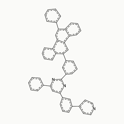 c1ccc(-c2cc(-c3cccc(-c4ccncc4)c3)nc(-c3cccc(-c4cc5c6ccccc6c(-c6ccccc6)cc5c5ccccc45)c3)n2)cc1